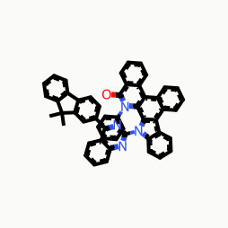 CC1(C)c2ccccc2-c2ccc(-c3nc(-n4c5ccccc5c5c6ccccc6c6c7ccccc7c(=O)n(-c7ccccc7)c6c54)nc4ccccc34)cc21